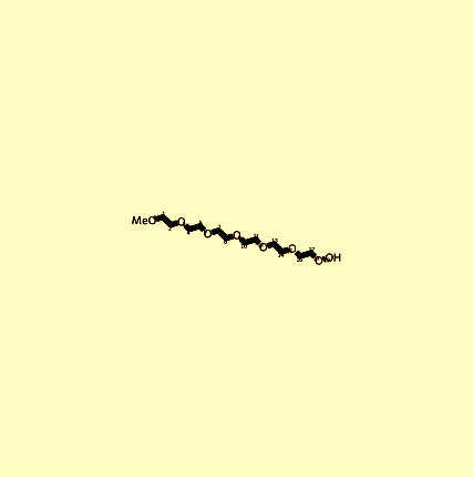 COCCOCCOCCOCCOCCOCCOO